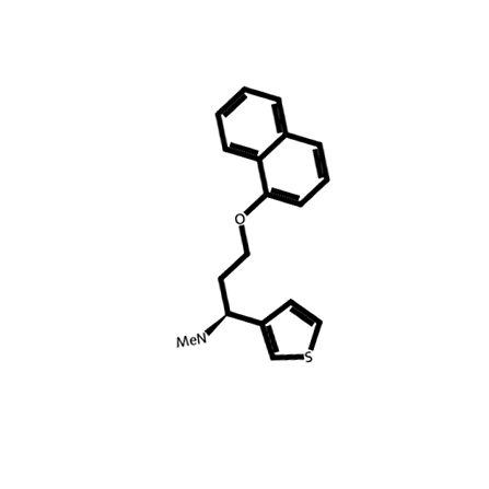 CN[C@@H](CCOc1cccc2ccccc12)c1ccsc1